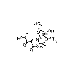 CO[C@@H]1[C@@H](O)[C@@H](CO)O[C@H]1n1cc(C(=O)C(=O)O)c(=O)[nH]c1=O